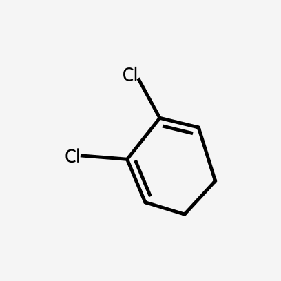 ClC1=CCCC=C1Cl